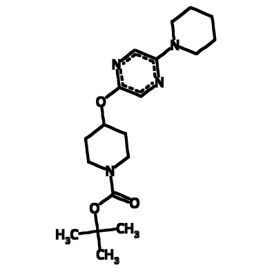 CC(C)(C)OC(=O)N1CCC(Oc2cnc(N3CCCCC3)cn2)CC1